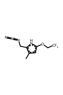 Cc1cc(OCC(F)(F)F)[nH]c1CN=[N+]=[N-]